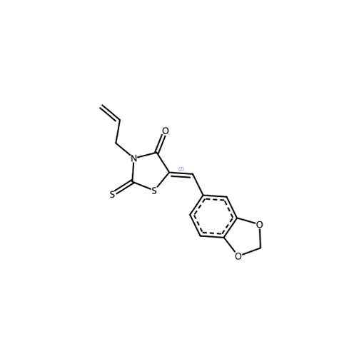 C=CCN1C(=O)/C(=C/c2ccc3c(c2)OCO3)SC1=S